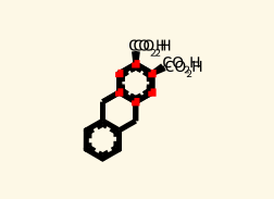 O=C(O)c1cc2c(cc1C(=O)O)C1c3ccccc3C2c2cc(C(=O)O)c(C(=O)O)cc21